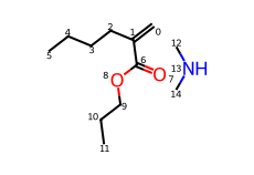 C=C(CCCC)C(=O)OCCC.CNC